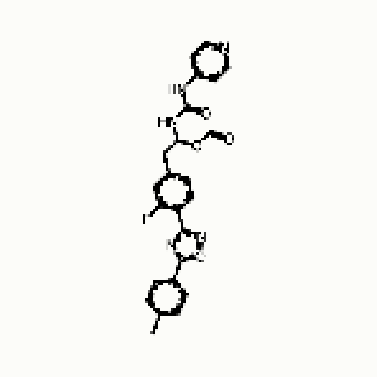 Cc1ccc(-c2nc(-c3ccc(CC(NC(=O)Nc4ccncc4)OC=O)cc3F)no2)cc1